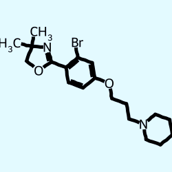 CC1(C)COC(c2ccc(OCCCN3CCCCC3)cc2Br)=N1